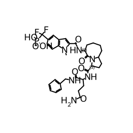 Cn1c(C(=O)N[C@H]2CCCCC3CC[C@@H](C(=O)NC(CCC(N)=O)C(=O)NCc4ccccc4)N3C2=O)cc2cc(C(F)(F)P(=O)(O)O)ccc21